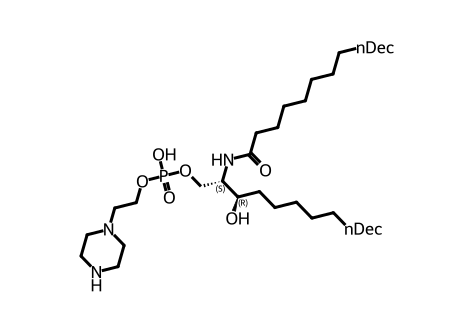 CCCCCCCCCCCCCCCCCC(=O)N[C@@H](COP(=O)(O)OCCN1CCNCC1)[C@H](O)CCCCCCCCCCCCCCC